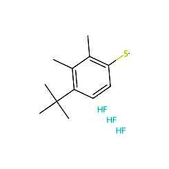 Cc1c([S])ccc(C(C)(C)C)c1C.F.F.F